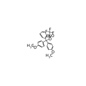 COc1ccc(C(OS(=O)(=O)C(F)(F)F)(c2ccccc2)c2ccc(OC)cc2)cc1